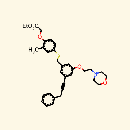 CCOC(=O)COc1ccc(SCc2cc(C#CCc3ccccc3)cc(OCCN3CCOCC3)c2)cc1C